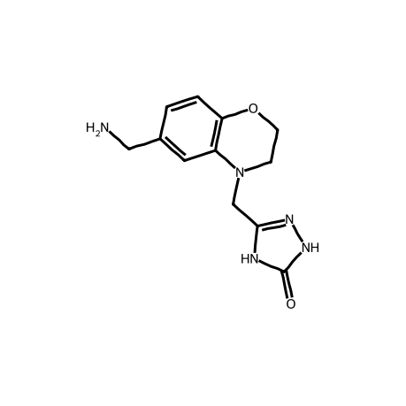 NCc1ccc2c(c1)N(Cc1n[nH]c(=O)[nH]1)CCO2